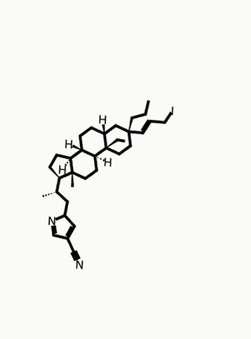 CCC[C@@]1(/C=C/CI)CC[C@@]2(CC)[C@H](CC[C@H]3[C@@H]4CC[C@H]([C@@H](C)CC5C=C(C#N)C=N5)[C@@]4(C)CC[C@@H]32)C1